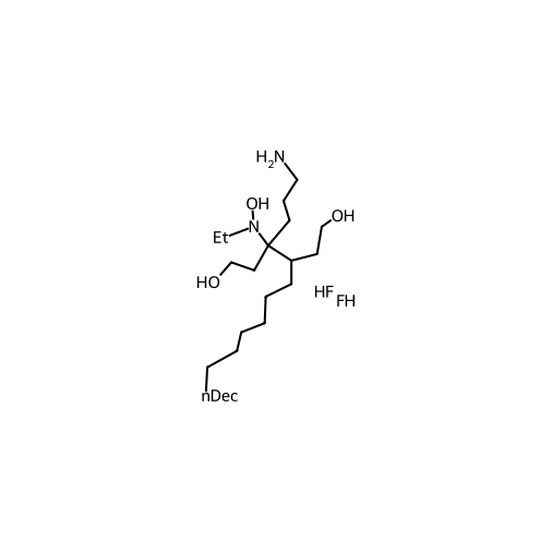 CCCCCCCCCCCCCCCCC(CCO)C(CCO)(CCCN)N(O)CC.F.F